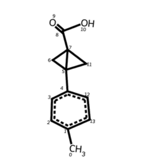 Cc1ccc(C23CC2(C(=O)O)C3)cc1